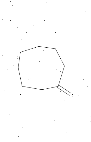 [CH]=C1CCCCCCC1